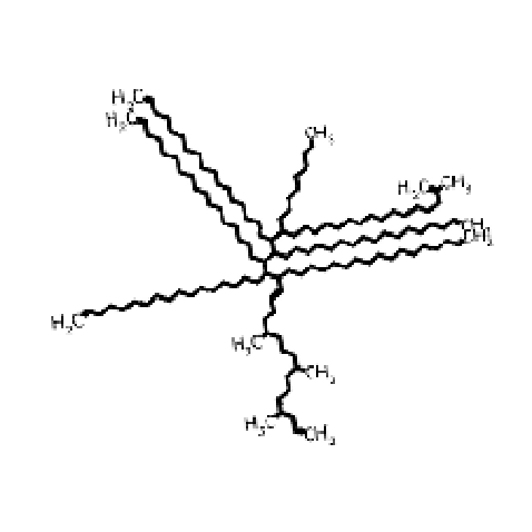 C=CCCCCCCCCCCCCCCCC(C=CCCC(C)CCCC(C)CCCC(C)CC=C)C(CCCCCCCCCCCCCCCC=C)C(CCCCCCCCCCCCCCCC=C)C(CCCCCCCCCCCCCCCC=C)C(CCCCCCCCCCCCCCCC=C)C(CCCCCCCCC)CCCCCCCCCCCCCCC(=C)C